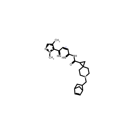 Cc1cnn(C)c1C(=N)/C=C\C(=N)NC(=O)C1CC12CCN(CC1CC3C=CC1C3)CC2